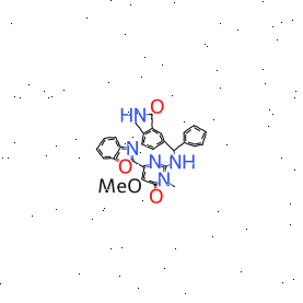 COc1c(-c2nc3ccccc3o2)nc(NC(c2ccccc2)c2ccc3c(c2)C(=O)NC3)n(C)c1=O